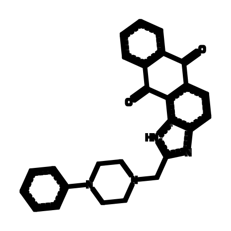 O=C1c2ccccc2C(=O)c2c1ccc1nc(CN3CCN(c4ccccc4)CC3)[nH]c21